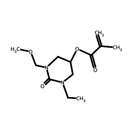 C=C(C)C(=O)OC1CN(CC)C(=O)N(COC)C1